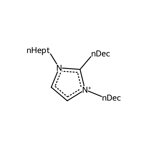 CCCCCCCCCCc1n(CCCCCCC)cc[n+]1CCCCCCCCCC